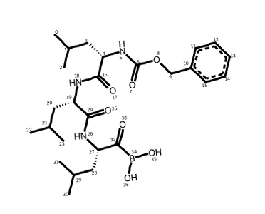 CC(C)C[C@H](NC(=O)OCc1ccccc1)C(=O)N[C@@H](CC(C)C)C(=O)N[C@@H](CC(C)C)C(=O)B(O)O